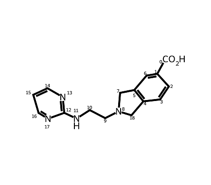 O=C(O)c1ccc2c(c1)CN(CCNc1ncccn1)C2